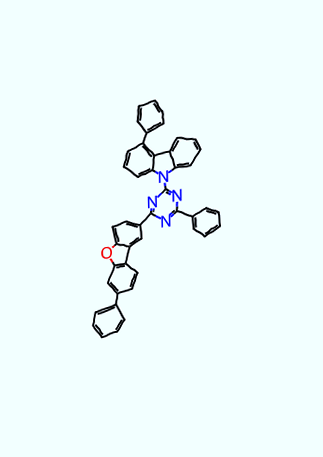 c1ccc(-c2ccc3c(c2)oc2ccc(-c4nc(-c5ccccc5)nc(-n5c6ccccc6c6c(-c7ccccc7)cccc65)n4)cc23)cc1